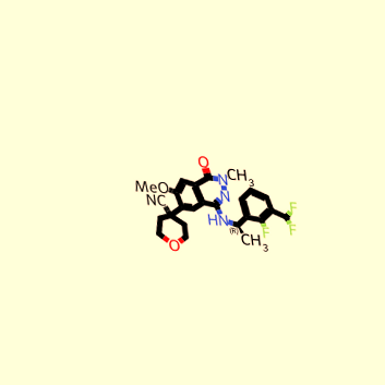 COc1cc2c(=O)n(C)nc(N[C@H](C)c3cccc(C(F)F)c3F)c2cc1C1(C#N)CCOCC1